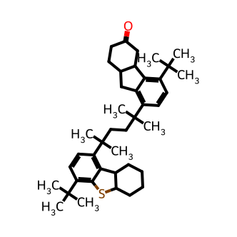 CC(C)(C)c1ccc(C(C)(C)CCC(C)(C)c2ccc(C(C)(C)C)c3c2CC2CCC(=O)CC32)c2c1SC1CCCCC21